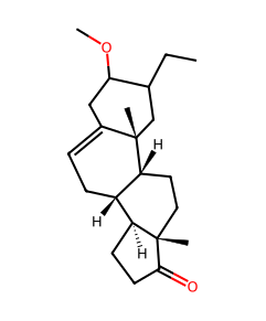 CCC1C[C@@]2(C)C(=CC[C@@H]3[C@H]2CC[C@]2(C)C(=O)CC[C@@H]32)CC1OC